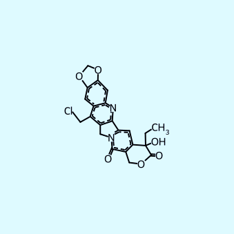 CCC1(O)C(=O)OCc2c1cc1n(c2=O)Cc2c-1nc1cc3c(cc1c2CCl)OCO3